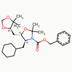 CC1(C)OCO[C@@H]1C[C@@H]1OC(C)(C)N(C(=O)OCc2ccccc2)[C@H]1CC1CCCCC1